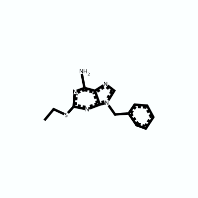 CCSc1nc(N)c2ncn(Cc3ccccc3)c2n1